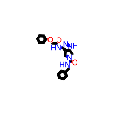 O=C(COc1ccccc1)Nc1n[nH]c2c1CN(C(=O)NCc1ccccc1)C2